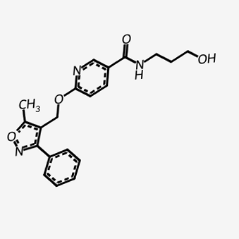 Cc1onc(-c2ccccc2)c1COc1ccc(C(=O)NCCCO)cn1